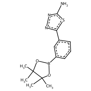 CC1(C)OB(c2cccc(-c3nnc(N)s3)c2)OC1(C)C